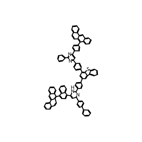 C1=C(c2ccc(-c3c4ccccc4cc4c3ccc3ccccc34)c3ccccc23)NC(c2ccc(-c3cc(-c4ccc(-c5cc(-c6ccc(-c7c8ccccc8cc8c7ccc7ccccc78)cc6)nc(-c6ccccc6)n5)cc4)c4sc5ccccc5c4c3)cc2)N=C1c1ccc(-c2ccccc2)cc1